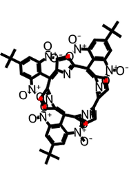 CC(C)(C)c1cc([N+](=O)[O-])c(C2=C3C=CC(=N3)C(c3c([N+](=O)[O-])cc(C(C)(C)C)cc3[N+](=O)[O-])=C3C=CC(=N3)c3ccc([nH]3)C(c3c([N+](=O)[O-])cc(C(C)(C)C)cc3[N+](=O)[O-])=C3C=CC2=N3)c([N+](=O)[O-])c1